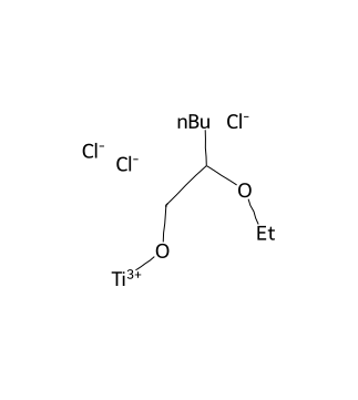 CCCCC(C[O][Ti+3])OCC.[Cl-].[Cl-].[Cl-]